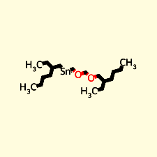 CCCCC(CC)COCO[CH2][Sn][CH2]C(CC)CCCC